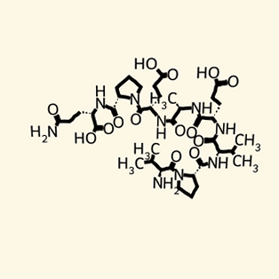 CC(C)[C@H](N)C(=O)N1CCC[C@H]1C(=O)N[C@H](C(=O)N[C@@H](CCC(=O)O)C(=O)N[C@@H](C)C(=O)N[C@@H](CCC(=O)O)C(=O)N1CCC[C@H]1C(=O)N[C@@H](CCC(N)=O)C(=O)O)C(C)C